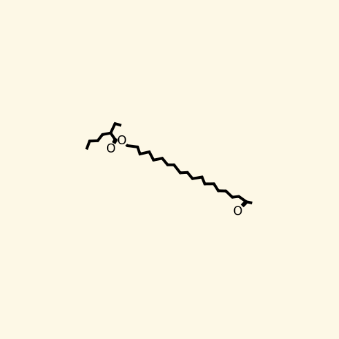 CCCCC(CC)C(=O)OCCCCCCCCCCCCCCCCCCC(C)=O